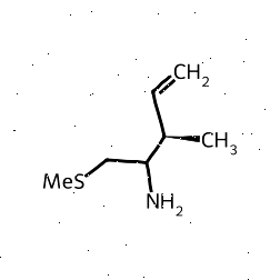 C=C[C@@H](C)C(N)CSC